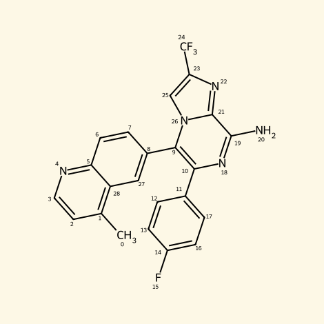 Cc1ccnc2ccc(-c3c(-c4ccc(F)cc4)nc(N)c4nc(C(F)(F)F)cn34)cc12